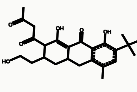 CC(=O)CC(=O)C1C(O)=C2C(=O)c3c(O)c(C(C)(C)C)cc(C)c3CC2CC1CCO